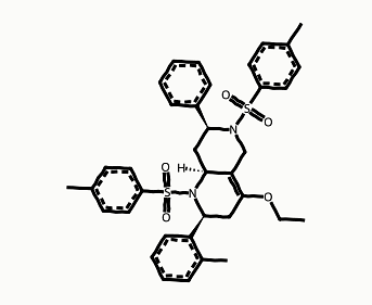 CCOC1=C2CN(S(=O)(=O)c3ccc(C)cc3)[C@H](c3ccccc3)C[C@@H]2N(S(=O)(=O)c2ccc(C)cc2)[C@H](c2ccccc2C)C1